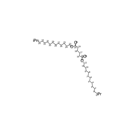 CC(C)CCCCCCCCCCCCOC(=O)CCCCC(=O)OCCCCCCCCCCCCC(C)C